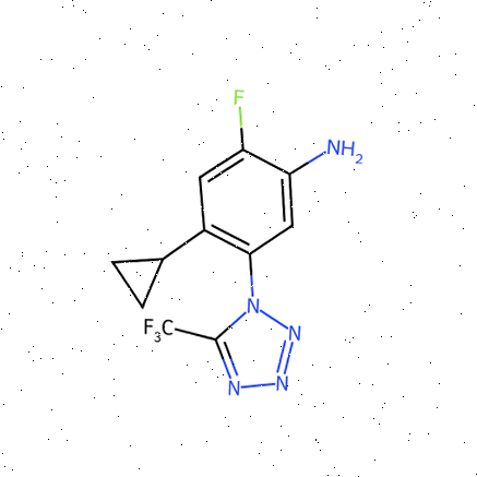 Nc1cc(-n2nnnc2C(F)(F)F)c(C2CC2)cc1F